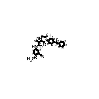 COc1ccc(NC(=O)c2cnn3c2C(=O)N(c2ccc(C(F)(F)c4ccccc4)cc2)C(C)C3)cc1C#N